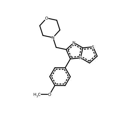 COc1ccc(-c2c(CN3CCOCC3)nc3sccn23)cc1